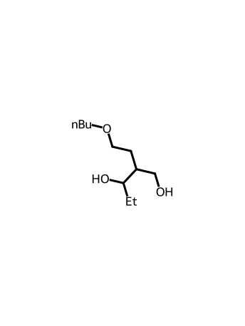 CCCCOCCC(CO)C(O)CC